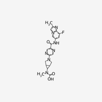 Cc1cn2cc(NC(=O)c3cnc(N4CC5C(C4)C5N(C)C(=O)O)cn3)cc(F)c2n1